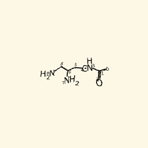 CC(=O)NCCC(N)CN